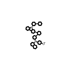 COc1ccc(N(c2cccc(-c3ccccc3-c3ccc4c5ccccc5n(-c5cccc(-c6ccccc6)c5)c4c3)c2)c2cccc3ccccc23)cc1